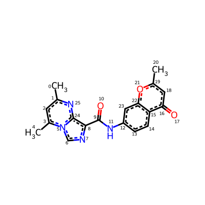 Cc1cc(C)n2cnc(C(=O)Nc3ccc4c(=O)cc(C)oc4c3)c2n1